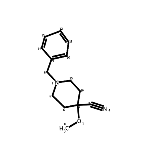 COC1(C#N)CCN(Cc2ccccc2)CC1